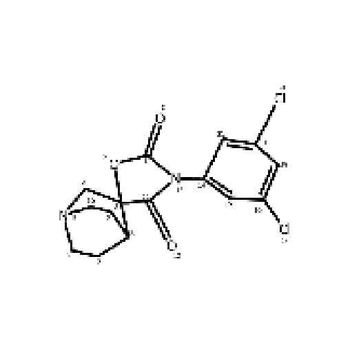 O=C1OC2(CN3CCC2CC3)C(=O)N1c1cc(Cl)cc(Cl)c1